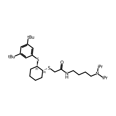 CC(C)N(CCCCNC(=O)CS[C@@H]1CCCC[C@H]1Sc1cc(C(C)(C)C)cc(C(C)(C)C)c1)C(C)C